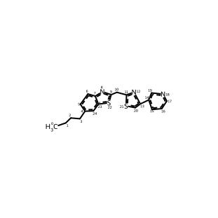 CCCCc1ccc2nc(Cc3nc(-c4cccnc4)cs3)sc2c1